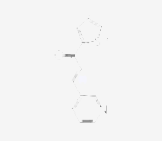 O=C(/C=C/c1cccnc1)c1cccs1